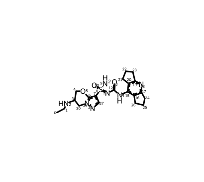 CCNC1COc2c(S(N)(=O)=NC(=O)Nc3c4c(nc5c3CCC5)CCC4)cnn2C1